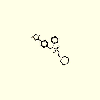 O=S(=O)(CCN1CCCOCC1)N(Cc1ccc(C2=NNCO2)cc1)c1ccccc1